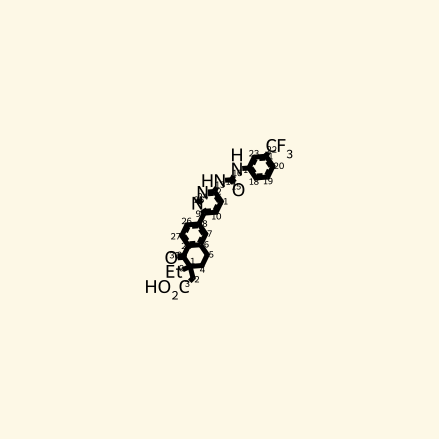 CCC1(CC(=O)O)CCc2cc(-c3ccc(NC(=O)Nc4cccc(C(F)(F)F)c4)nn3)ccc2C1=O